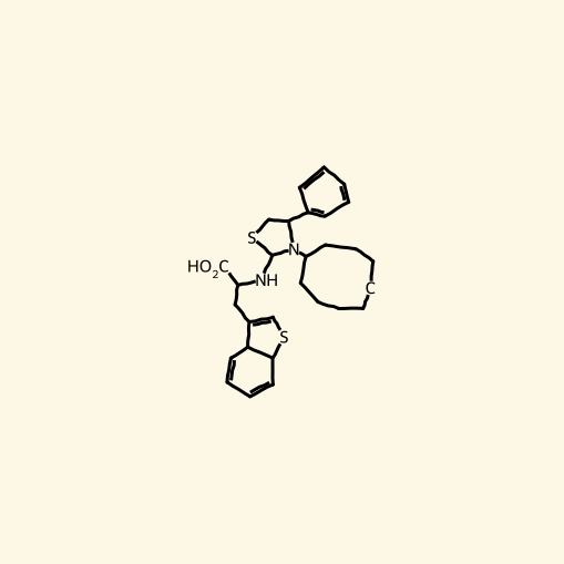 O=C(O)C(CC1=CSC2C=CC=CC12)NC1SCC(c2ccccc2)N1C1CCCCCCCC1